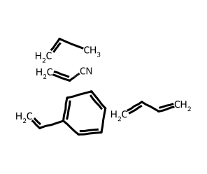 C=CC.C=CC#N.C=CC=C.C=Cc1ccccc1